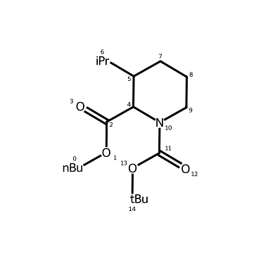 CCCCOC(=O)C1C(C(C)C)CCCN1C(=O)OC(C)(C)C